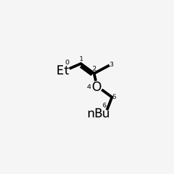 CCC=C(C)OCCCCC